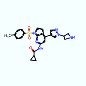 Cc1ccc(S(=O)(=O)n2ccc3c(-c4cnn(C5CNC5)c4)cc(NC(=O)C4CC4)nc32)cc1